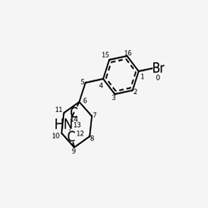 Brc1ccc(CC23CCC(CC2)CNC3)cc1